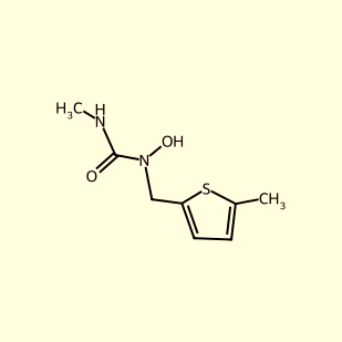 CNC(=O)N(O)Cc1ccc(C)s1